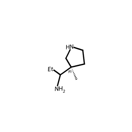 CCC(N)[C@]1(C)CCNC1